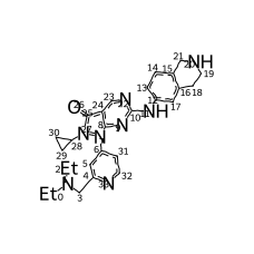 CCN(CC)Cc1cc(-n2c3nc(Nc4ccc5c(c4)CCNC5)ncc3c(=O)n2C2CC2)ccn1